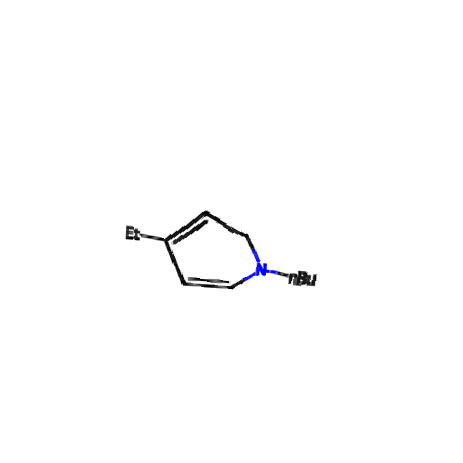 CCCCN1C=CC(CC)=CC1